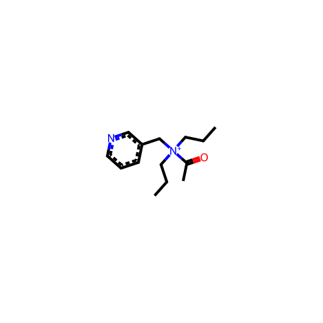 CCC[N+](CCC)(Cc1cccnc1)C(C)=O